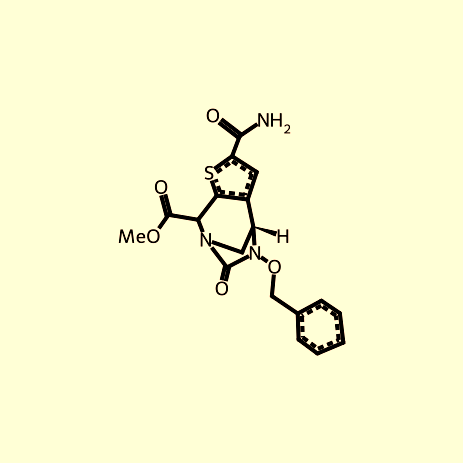 COC(=O)C1c2sc(C(N)=O)cc2[C@H]2CN1C(=O)N2OCc1ccccc1